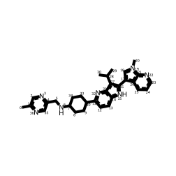 Cc1cnc(CNC2CCC(c3ccc4[nH]c(-c5cn(C)c6ncccc56)c(C(C)C)c4n3)CC2)cn1